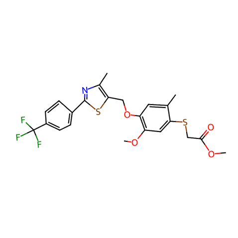 COC(=O)CSc1cc(OC)c(OCc2sc(-c3ccc(C(F)(F)F)cc3)nc2C)cc1C